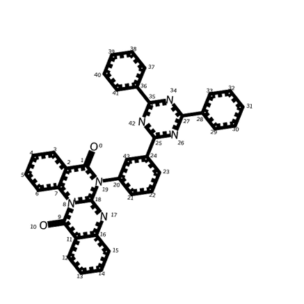 O=c1c2ccccc2n2c(=O)c3ccccc3nc2n1-c1cccc(-c2nc(-c3ccccc3)nc(-c3ccccc3)n2)c1